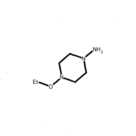 CCON1CCN(N)CC1